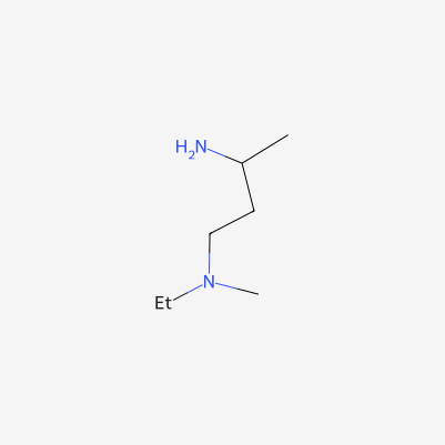 CCN(C)CCC(C)N